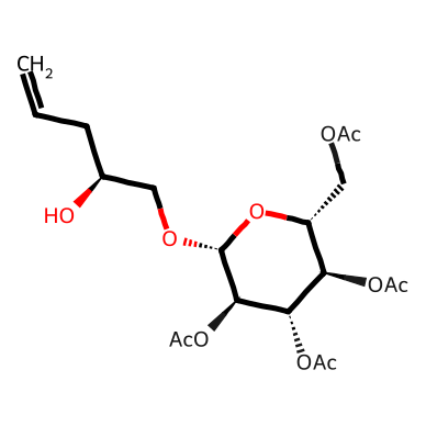 C=CC[C@H](O)CO[C@@H]1O[C@H](COC(C)=O)[C@@H](OC(C)=O)[C@H](OC(C)=O)[C@H]1OC(C)=O